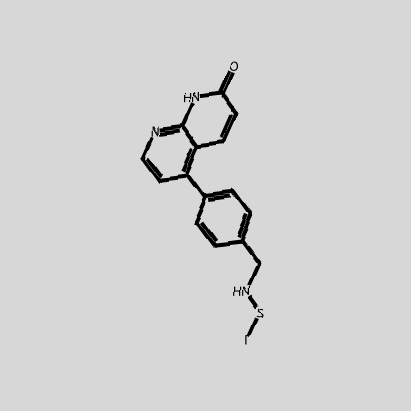 O=c1ccc2c(-c3ccc(CNSI)cc3)ccnc2[nH]1